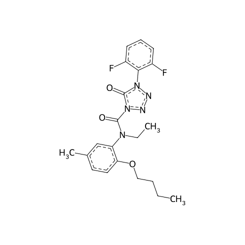 CCCCOc1ccc(C)cc1N(CC)C(=O)n1nnn(-c2c(F)cccc2F)c1=O